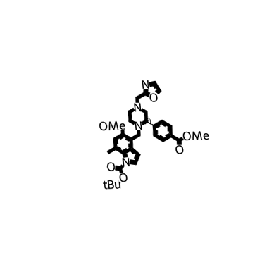 COC(=O)c1ccc([C@H]2CN(Cc3ncco3)CCN2Cc2c(OC)cc(C)c3c2ccn3C(=O)OC(C)(C)C)cc1